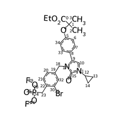 CCOC(=O)C(C)(C)Oc1ccc(-c2cn(C3CC3)c(=O)n2Cc2ccc(CP(=O)(OF)OF)c(Br)c2)cc1